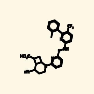 CCCC1CCN(c2cccc(SNc3ccc(C(F)(F)F)c(-c4ccccc4C)n3)n2)C2CC(C(=O)O)C12